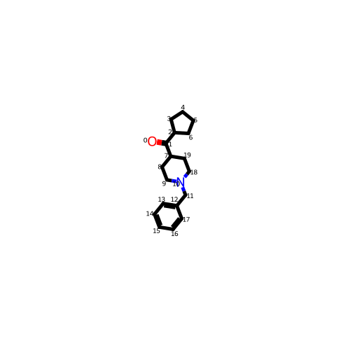 O=C(C1CCCC1)C1CCN(Cc2ccccc2)CC1